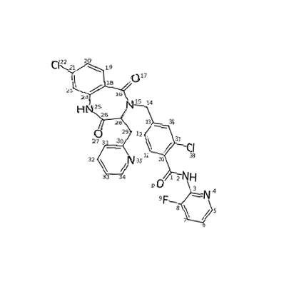 O=C(Nc1ncccc1F)c1ccc(CN2C(=O)c3ccc(Cl)cc3NC(=O)C2Cc2ccccn2)cc1Cl